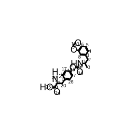 CC(Cc1ccc2c(c1)OCO2)NC(=O)Oc1ccc(C[C@H](N)C(=O)O)cc1